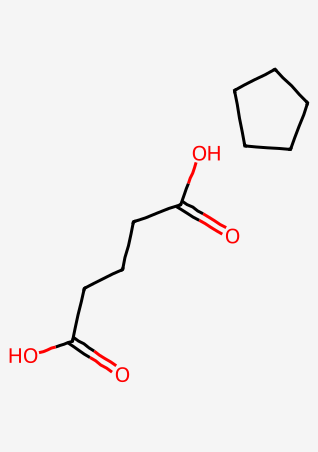 C1CCCC1.O=C(O)CCCC(=O)O